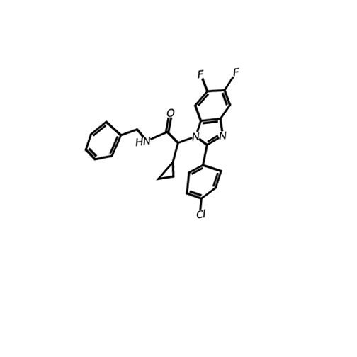 O=C(NCc1ccccc1)C(C1CC1)n1c(-c2ccc(Cl)cc2)nc2cc(F)c(F)cc21